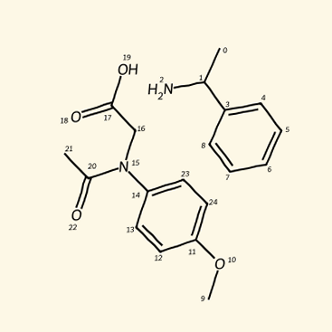 CC(N)c1ccccc1.COc1ccc(N(CC(=O)O)C(C)=O)cc1